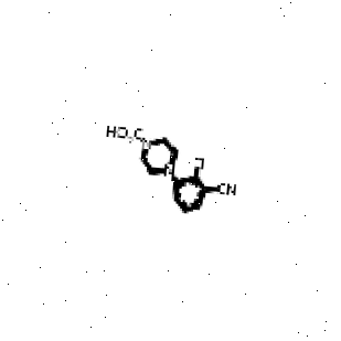 N#Cc1cccc(N2CCN(C(=O)O)CC2)c1Cl